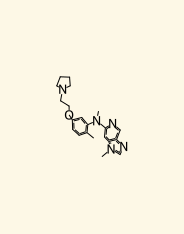 Cc1ccc(OCCN2CCCC2)cc1N(C)c1cc2c(cn1)ncn2C